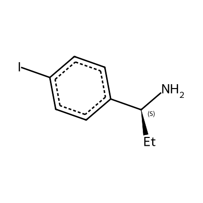 CC[C@H](N)c1ccc(I)cc1